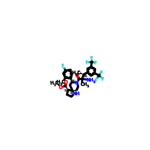 COC(=O)[C@H]1CCN[C@@]12CCN(C(=O)C(C)(N)[C@H](C)c1cc(C(F)(F)F)cc(C(F)(F)F)c1)[C@@H](c1ccc(F)cc1C)C2